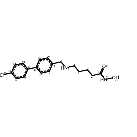 O=C(CCCCNCc1ccc(-c2ccc(Cl)cc2)cc1)NO